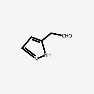 O=CCc1ccn[nH]1